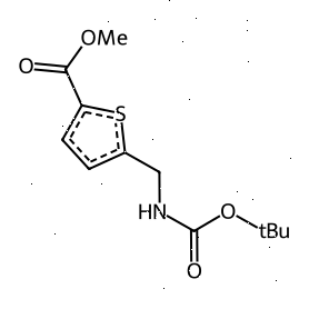 COC(=O)c1ccc(CNC(=O)OC(C)(C)C)s1